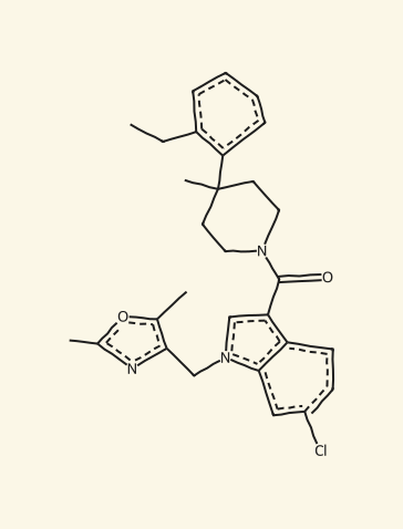 CCc1ccccc1C1(C)CCN(C(=O)c2cn(Cc3nc(C)oc3C)c3cc(Cl)ccc23)CC1